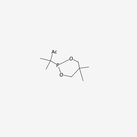 CC(=O)C(C)(C)P1OCC(C)(C)CO1